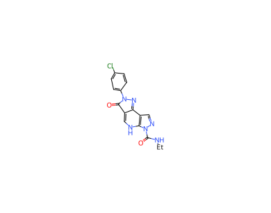 CCNC(=O)n1ncc2c3nn(-c4ccc(Cl)cc4)c(=O)c-3c[nH]c21